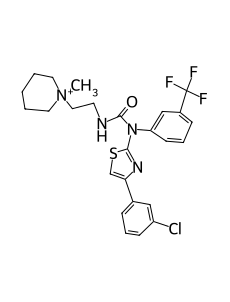 C[N+]1(CCNC(=O)N(c2cccc(C(F)(F)F)c2)c2nc(-c3cccc(Cl)c3)cs2)CCCCC1